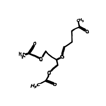 CC(=O)CCCOC(COC(C)=O)COC(C)=O